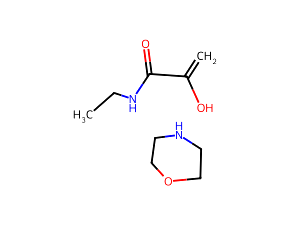 C1COCCN1.C=C(O)C(=O)NCC